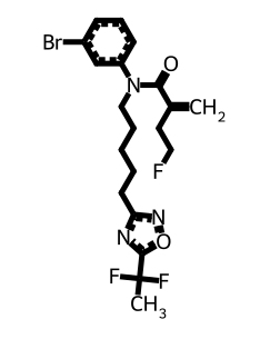 C=C(CCF)C(=O)N(CCCCCc1noc(C(C)(F)F)n1)c1cccc(Br)c1